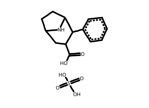 O=C(O)C1CC2CCC(N2)C1c1ccccc1.O=S(=O)(O)O